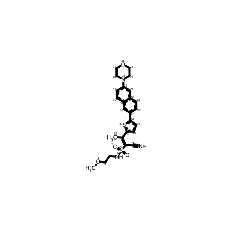 COCCNS(=O)(=O)/C(C#N)=C(\C)c1ccc(-c2ccc3cc(N4CCOCC4)ccc3c2)s1